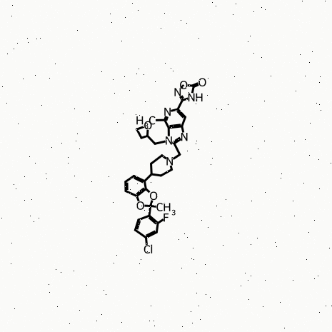 Cc1nc(-c2noc(=O)[nH]2)cc2nc(CN3CCC(c4cccc5c4OC(C)(c4ccc(Cl)cc4F)O5)CC3)n(CC3CCO3)c12